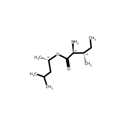 CC[C@H](C)[C@H](N)C(=O)O[C@@H](C)CC(C)C